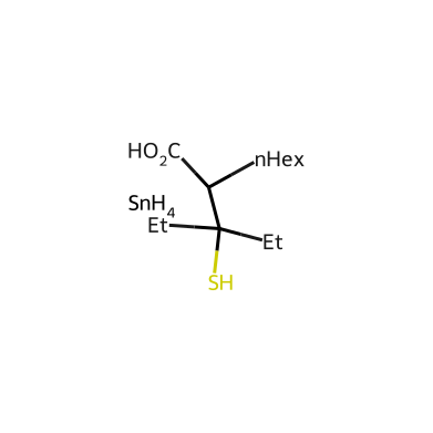 CCCCCCC(C(=O)O)C(S)(CC)CC.[SnH4]